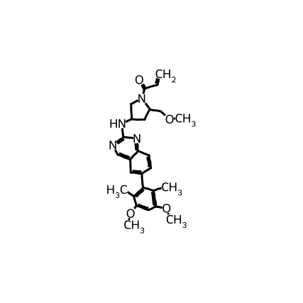 C=CC(=O)N1CC(Nc2ncc3cc(-c4c(C)c(OC)cc(OC)c4C)ccc3n2)CC1COC